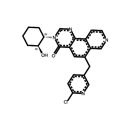 O=c1c2cc(Cc3ccc(Cl)nc3)c3cnccc3c2ncn1[C@H]1CCCC[C@@H]1O